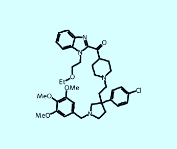 CCOCCn1c(C(=O)C2CCN(CCC3(c4ccc(Cl)cc4)CCN(Cc4cc(OC)c(OC)c(OC)c4)C3)CC2)nc2ccccc21